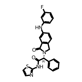 O=C(Nc1nccs1)[C@@H](c1ccccc1)N1Cc2ccc(Nc3cccc(F)c3)cc2C1=O